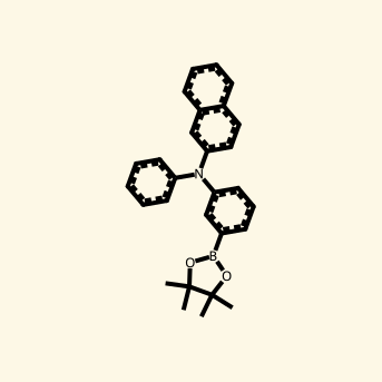 CC1(C)OB(c2cccc(N(c3ccccc3)c3ccc4ccccc4c3)c2)OC1(C)C